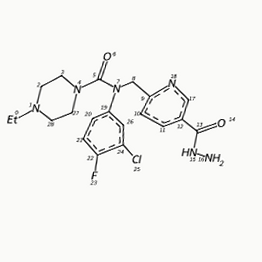 CCN1CCN(C(=O)N(Cc2ccc(C(=O)NN)cn2)c2ccc(F)c(Cl)c2)CC1